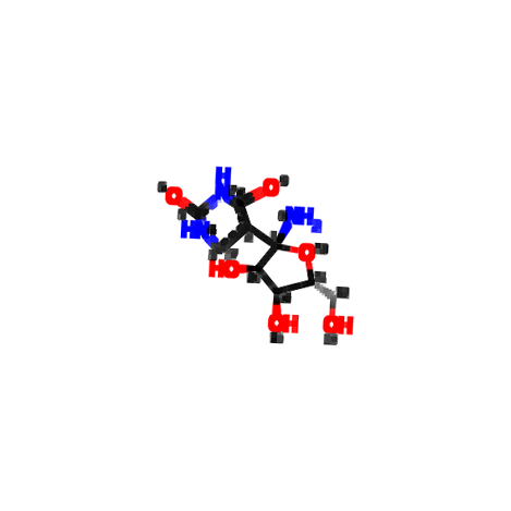 N[C@@]1(c2c[nH]c(=O)[nH]c2=O)O[C@H](CO)[C@@H](O)[C@H]1O